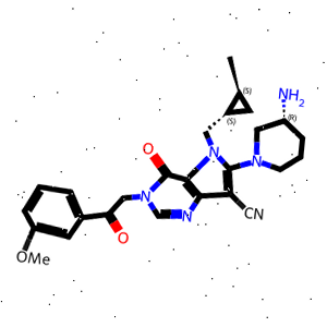 COc1cccc(C(=O)Cn2cnc3c(C#N)c(N4CCC[C@@H](N)C4)n(C[C@H]4C[C@@H]4C)c3c2=O)c1